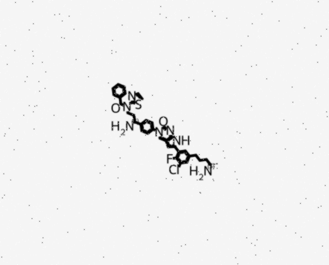 C[C@H](N)CCCc1cc(Cl)c(F)c(-c2cc3cn(-c4ccc([C@@H](N)CCN(C(=O)c5ccccc5)c5nccs5)cc4)c(=O)nc3[nH]2)c1